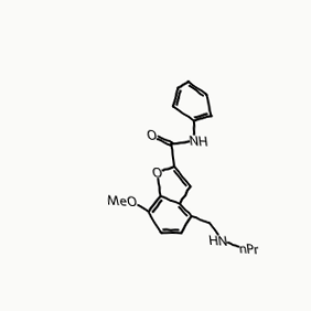 CCCNCc1ccc(OC)c2oc(C(=O)Nc3ccccc3)cc12